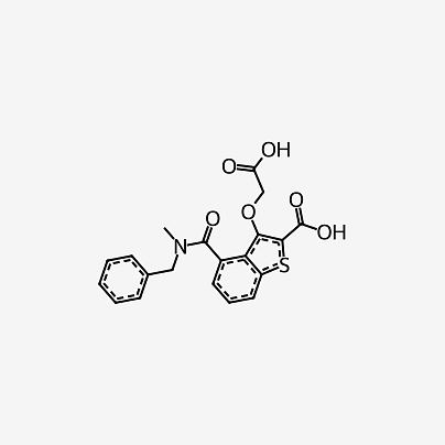 CN(Cc1ccccc1)C(=O)c1cccc2sc(C(=O)O)c(OCC(=O)O)c12